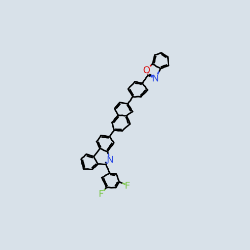 Fc1cc(F)cc(-c2nc3cc(-c4ccc5cc(-c6ccc(-c7nc8ccccc8o7)cc6)ccc5c4)ccc3c3ccccc23)c1